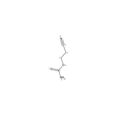 N#CCCOC(N)=O